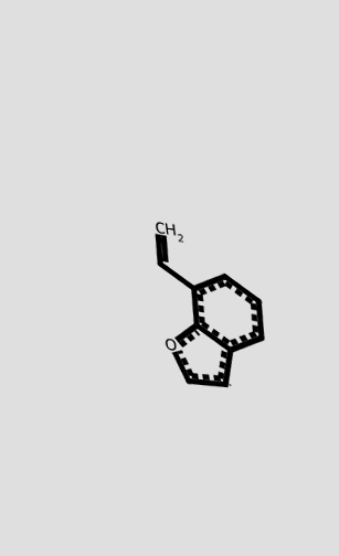 C=Cc1cccc2[c]coc12